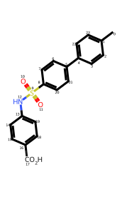 Cc1ccc(-c2ccc(S(=O)(=O)Nc3ccc(C(=O)O)cc3)cc2)cc1